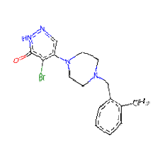 Cc1ccccc1CN1CCN(c2cn[nH]c(=O)c2Br)CC1